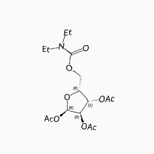 CCN(CC)C(=O)OC[C@H]1O[C@H](OC(C)=O)[C@H](OC(C)=O)[C@H]1OC(C)=O